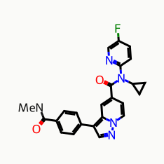 CNC(=O)c1ccc(-c2cnn3ccc(C(=O)N(c4ccc(F)cn4)C4CC4)cc23)cc1